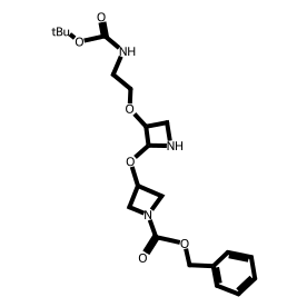 CC(C)(C)OC(=O)NCCOC1CNC1OC1CN(C(=O)OCc2ccccc2)C1